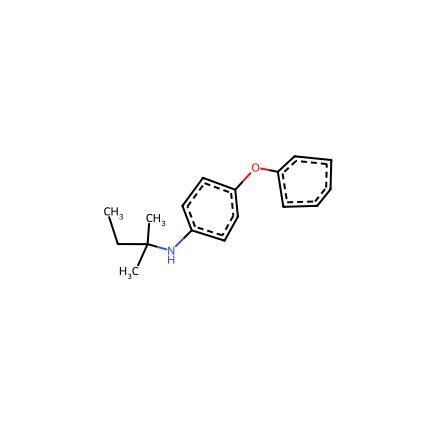 CCC(C)(C)Nc1ccc(Oc2ccccc2)cc1